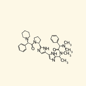 C[C@@H](c1ncc(-c2cnc([C@@H]3CCCN3C(=O)[C@@H](c3ccccc3)N3CCCCC3)[nH]2)[nH]1)N(C)C(=O)[C@@H](c1ccccc1)N(C)C